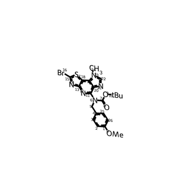 COc1ccc(CN(C(=O)OC(C)(C)C)c2nc3nc(Br)sc3c3c2ncn3C)cc1